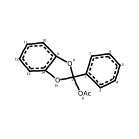 CC(=O)OC1(c2ccccc2)Oc2ccccc2O1